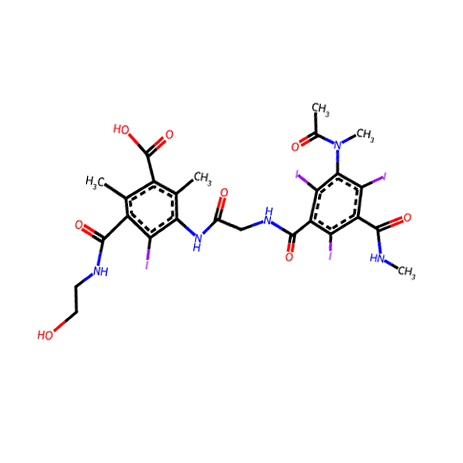 CNC(=O)c1c(I)c(C(=O)NCC(=O)Nc2c(C)c(C(=O)O)c(C)c(C(=O)NCCO)c2I)c(I)c(N(C)C(C)=O)c1I